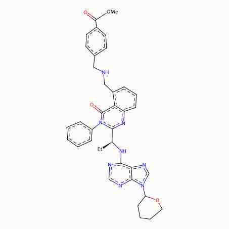 CC[C@H](Nc1ncnc2c1ncn2C1CCCCO1)c1nc2cccc(CNCc3ccc(C(=O)OC)cc3)c2c(=O)n1-c1ccccc1